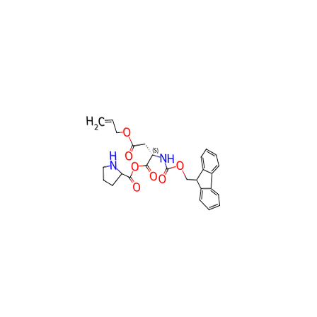 C=CCOC(=O)C[C@H](NC(=O)OCC1c2ccccc2-c2ccccc21)C(=O)OC(=O)C1CCCN1